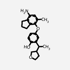 Cc1cc(N)c2c(c1Oc1ccc(O)c(C(C)C3CCOC3)c1)CCC2